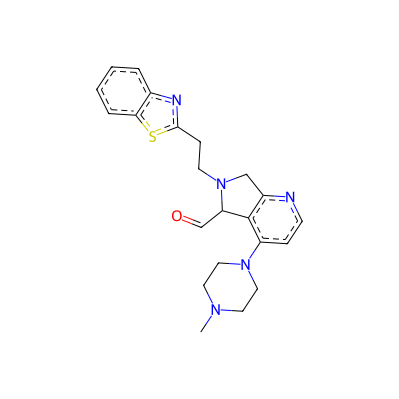 CN1CCN(c2ccnc3c2C(C=O)N(CCc2nc4ccccc4s2)C3)CC1